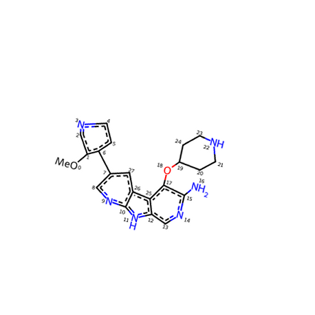 COc1cnccc1-c1cnc2[nH]c3cnc(N)c(OC4CCNCC4)c3c2c1